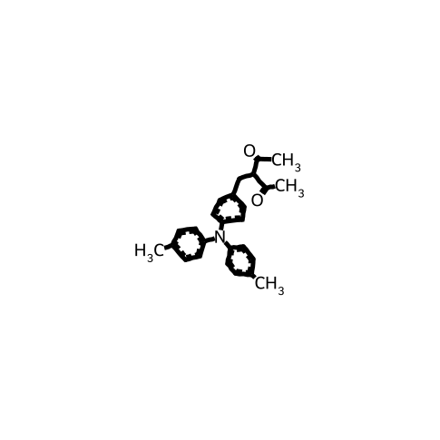 CC(=O)C(Cc1ccc(N(c2ccc(C)cc2)c2ccc(C)cc2)cc1)C(C)=O